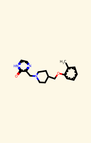 Cc1ccccc1OCC1CCN(Cc2ncc[nH]c2=O)CC1